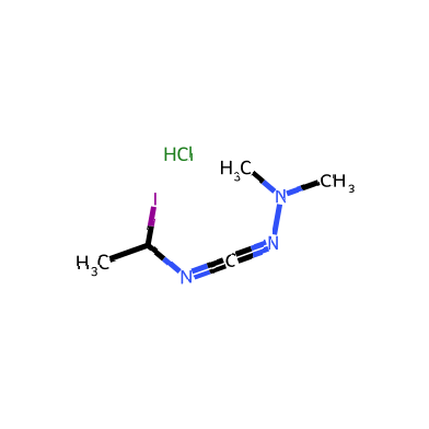 CC(I)N=C=NN(C)C.Cl